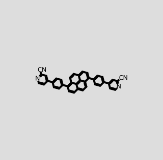 N#Cc1cc(-c2ccc(-c3ccc4ccc5c(-c6ccc(-c7ccnc(C#N)c7)cc6)ccc6ccc3c4c65)cc2)ccn1